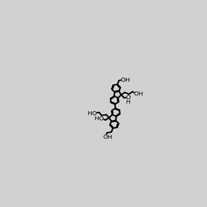 OCCCC1(CO)c2cc(CO)ccc2-c2ccc(-c3ccc4c(c3)C(CO)(CCCO)c3cc(CCO)ccc3-4)cc21